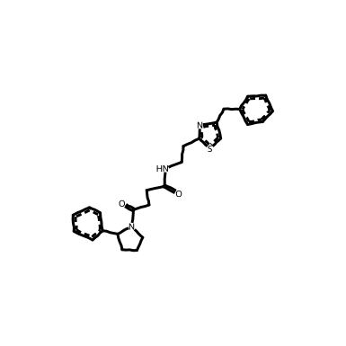 O=C(CCC(=O)N1CCCC1c1ccccc1)NCCc1nc(Cc2ccccc2)cs1